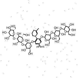 CCCCCc1cc(O[C@H]2O[C@@H](CO)[C@H](O)[C@@H](O[C@H]3O[C@@H](CO)[C@H](O)[C@@H](O[C@H]4O[C@@H](CO)[C@H](O)[C@@H](O)[C@@H]4O)[C@@H]3O)[C@@H]2O)c([C@@H]2C=C(C)CCC2)c(O[C@@H]2O[C@H](CO)[C@@H](O)[C@H](O[C@@H]3O[C@H](CO)[C@@H](O)[C@H](O[C@@H]4O[C@H](CO)[C@@H](O)[C@H](O)[C@H]4O)[C@H]3O)[C@H]2O)c1